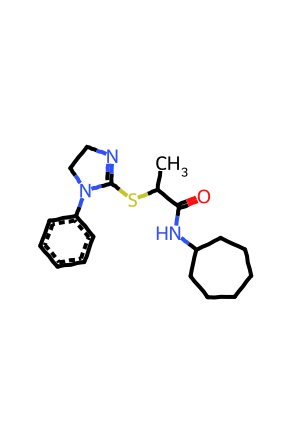 CC(SC1=NCCN1c1ccccc1)C(=O)NC1CCCCCC1